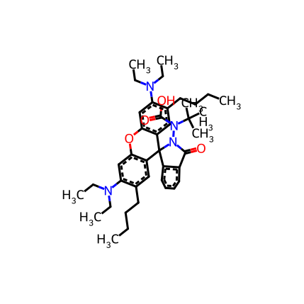 CCCCc1cc2c(cc1N(CC)CC)Oc1cc(N(CC)CC)c(CCCC)cc1C21c2ccccc2C(=O)N1N(C(=O)O)C(C)(C)C